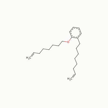 C=CCCCCCCOc1ccccc1CCCCCCC=C